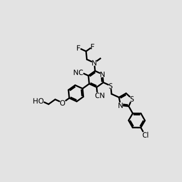 CN(CC(F)F)c1nc(SCc2csc(-c3ccc(Cl)cc3)n2)c(C#N)c(-c2ccc(OCCO)cc2)c1C#N